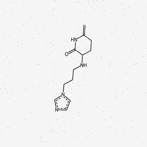 C=C1CCC(NCCCn2ccnc2)C(=O)N1